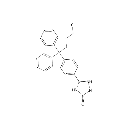 O=C1[N]NN(c2ccc(C(CCCCl)(c3ccccc3)c3ccccc3)cc2)N1